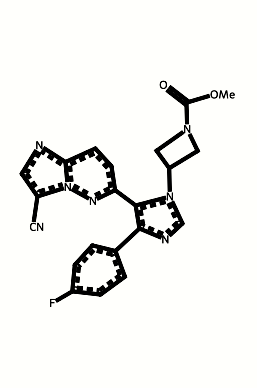 COC(=O)N1CC(n2cnc(-c3ccc(F)cc3)c2-c2ccc3ncc(C#N)n3n2)C1